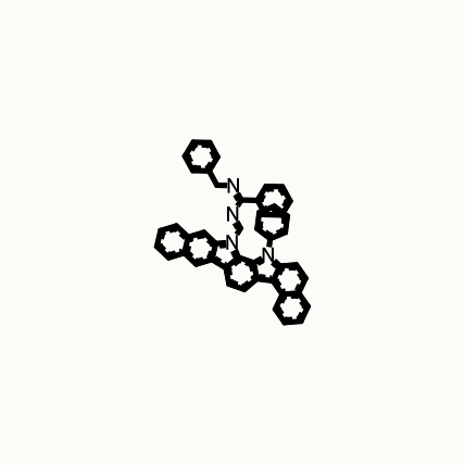 C(=N\C(=N/Cc1ccccc1)c1ccccc1)/n1c2cc3ccccc3cc2c2ccc3c4c5ccccc5ccc4n(-c4ccccc4)c3c21